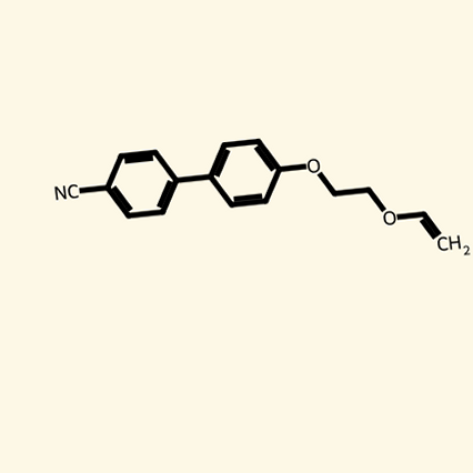 C=COCCOc1ccc(-c2ccc(C#N)cc2)cc1